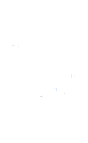 Cc1ccc2cc(Br)c(N(C)C)cc2c1